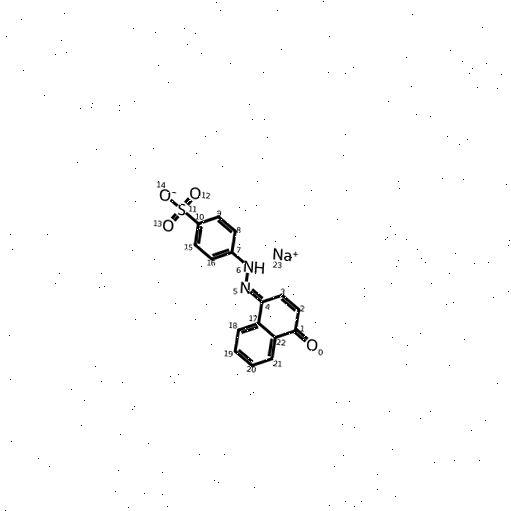 O=C1C=C/C(=N\Nc2ccc(S(=O)(=O)[O-])cc2)c2ccccc21.[Na+]